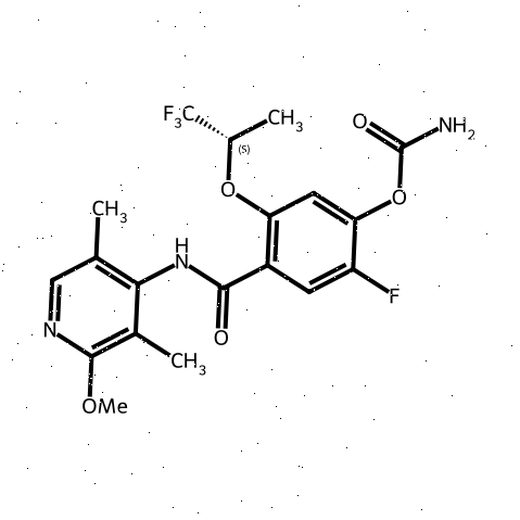 COc1ncc(C)c(NC(=O)c2cc(F)c(OC(N)=O)cc2O[C@@H](C)C(F)(F)F)c1C